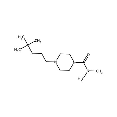 CN(C)C(=O)N1CCN(CCCC(C)(C)C)CC1